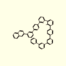 c1ccc(-c2cccc(-c3cccc(-c4ccc(-c5cccc6c5oc5c(-c7ccc(-c8cccc(-c9ccc%10ccccc%10c9)c8)cc7)cccc56)cc4)c3)c2)cc1